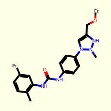 CCOCC1=CN(c2ccc(NC(=O)Nc3cc(C(C)C)ccc3C)cc2)N(C)N1